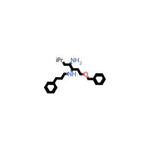 CC(C)CC(N)C(CCOCc1ccccc1)NCCCc1ccccc1